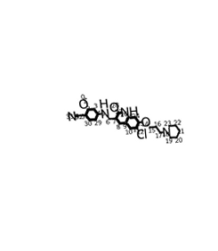 COc1cc(NCc2cc3cc(Cl)c(OCCCN4CCCCC4)cc3[nH]c2=O)ccc1C#N